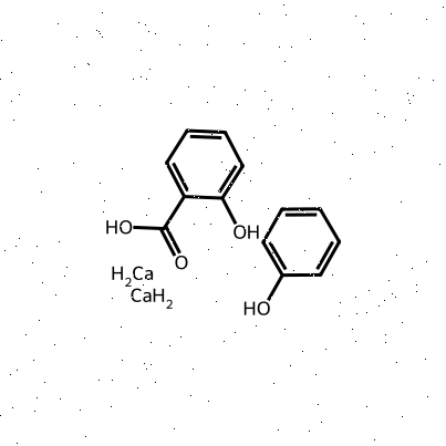 O=C(O)c1ccccc1O.Oc1ccccc1.[CaH2].[CaH2]